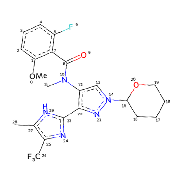 COc1cccc(F)c1C(=O)N(C)c1cn(C2CCCCO2)nc1-c1nc(C(F)(F)F)c(C)[nH]1